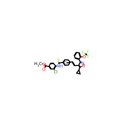 COC(=O)c1ccc(NC(=S)C23CCC(C=Cc4c(-c5ccccc5OC(F)(F)F)noc4C4CC4)(CC2)CC3)c(Cl)c1